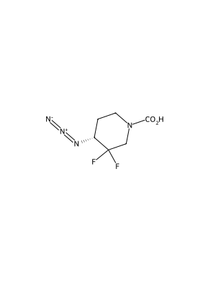 [N-]=[N+]=N[C@@H]1CCN(C(=O)O)CC1(F)F